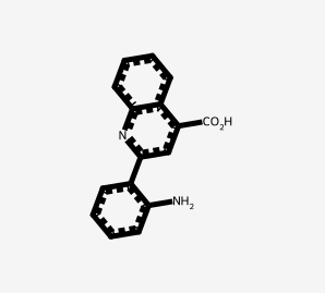 Nc1ccccc1-c1cc(C(=O)O)c2ccccc2n1